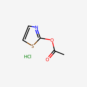 CC(=O)Oc1nccs1.Cl